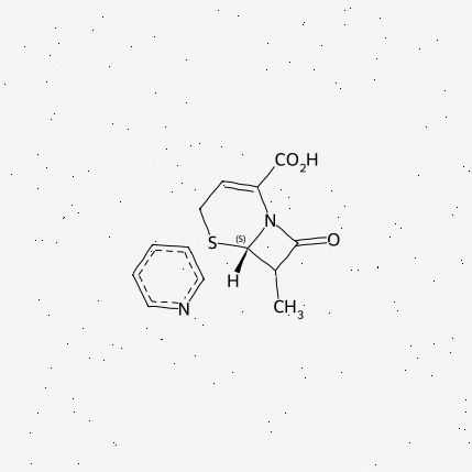 CC1C(=O)N2C(C(=O)O)=CCS[C@@H]12.c1ccncc1